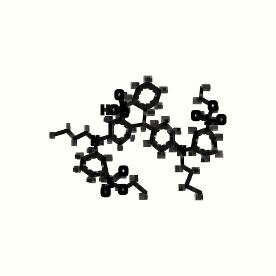 CCCCN(c1ccc(C(c2ccc(N(CCCC)c3cccc(S(=O)(=O)OCC)c3)cc2)c2ccccc2S(=O)(=O)O)cc1)c1cccc(S(=O)(=O)OCC)c1